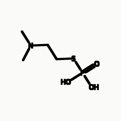 CN(C)CCSP(=O)(O)O